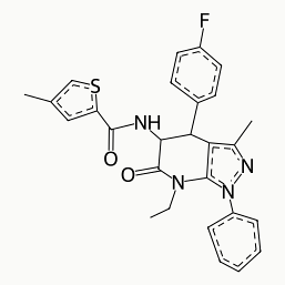 CCN1C(=O)C(NC(=O)c2cc(C)cs2)C(c2ccc(F)cc2)c2c(C)nn(-c3ccccc3)c21